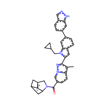 Cc1c(-c2cc3ccc(-c4ccc5cn[nH]c5c4)cc3n2CC2CC2)nn2cc(C(=O)N3CC4CC5CC3[C@H]54)ccc12